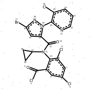 O=C(Cl)c1cc(Cl)cc(Cl)c1N(C(=O)c1cc(Br)nn1-c1ncccc1Cl)C1CC1